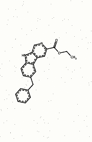 CCOC(=O)c1cc2c(cn1)[nH]c1ccc(Cc3ccccc3)cc12